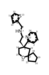 c1ccc([C@@]2(CCNCc3cccs3)CCOC3(CCCC3)C2)nc1